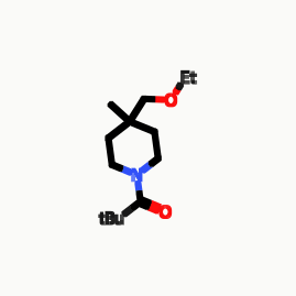 CCOCC1(C)CCN(C(=O)C(C)(C)C)CC1